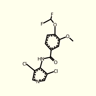 COc1cc(C(=O)Nc2c(Cl)cncc2Cl)ccc1OC(F)F